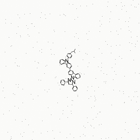 CC(C)Cc1ccc(-n2c3ccccc3c3cc(-c4ccc5c(c4)c4ccccc4n5-c4nc(-c5ccccc5)cc(-c5ccccc5)n4)ccc32)cc1